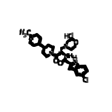 CN1CCC(C2CCN(C(=O)[C@@H](CN3CCOCC3)NC(=O)c3cc4cc(Cl)ccc4[nH]3)CC2)CC1.Cl